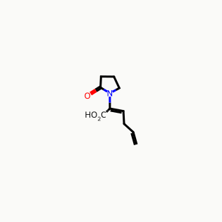 C=CC/C=C(\C(=O)O)N1CCCC1=O